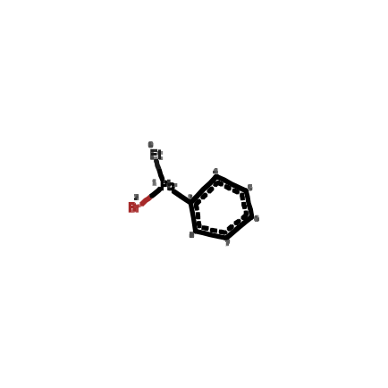 C[CH2][Pb]([Br])[c]1ccccc1